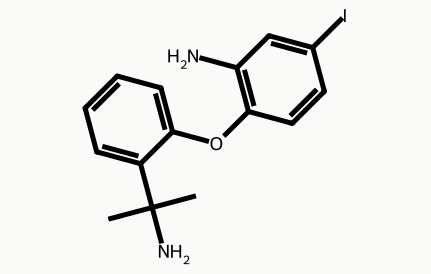 CC(C)(N)c1ccccc1Oc1ccc(I)cc1N